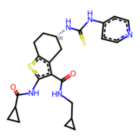 O=C(NCC1CC1)c1c(NC(=O)C2CC2)sc2c1C[C@@H](NC(=S)Nc1ccncc1)CC2